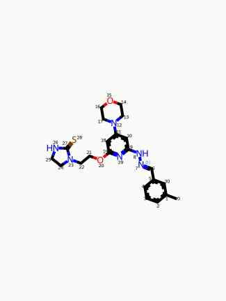 Cc1cccc(/C=N/Nc2cc(N3CCOCC3)cc(OCCN3CCNC3=S)n2)c1